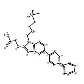 C[Si](C)(C)CCOCn1c(OCC(=O)O)nc2cc(-c3ccc(-c4ccccc4)cc3)ccc21